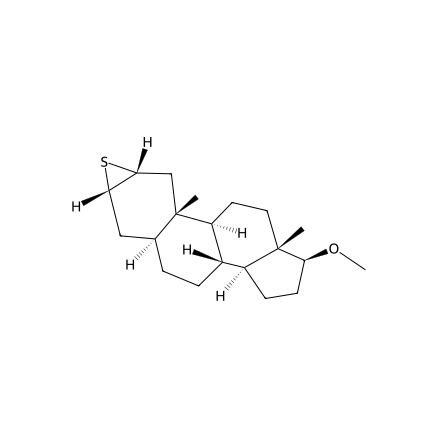 CO[C@H]1CC[C@H]2[C@@H]3CC[C@H]4C[C@@H]5S[C@@H]5C[C@]4(C)[C@H]3CC[C@]12C